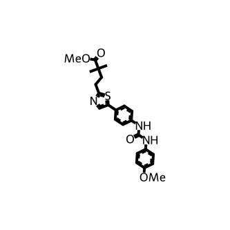 COC(=O)C(C)(C)CCc1ncc(-c2ccc(NC(=O)Nc3ccc(OC)cc3)cc2)s1